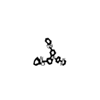 c1cnc(-c2ccc(-n3c4ccc(-c5nc6ccccc6o5)cc4c4cc(-c5nc6ccccc6o5)ccc43)cc2)nc1